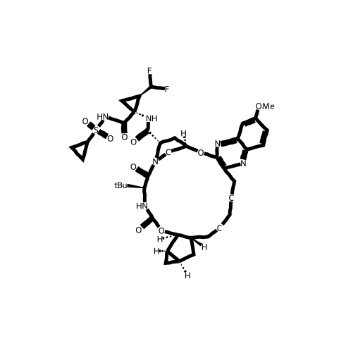 COc1ccc2nc3c(nc2c1)O[C@@H]1C[C@@H](C(=O)N[C@]2(C(=O)NS(=O)(=O)C4CC4)C[C@H]2C(F)F)N(C1)C(=O)[C@H](C(C)(C)C)NC(=O)O[C@H]1[C@H](CCCCC3)C[C@H]2C[C@H]21